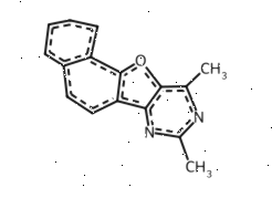 Cc1nc(C)c2oc3c4ccccc4ccc3c2n1